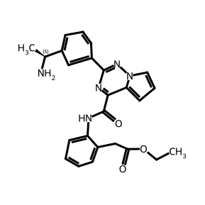 CCOC(=O)Cc1ccccc1NC(=O)c1nc(-c2cccc([C@H](C)N)c2)nn2cccc12